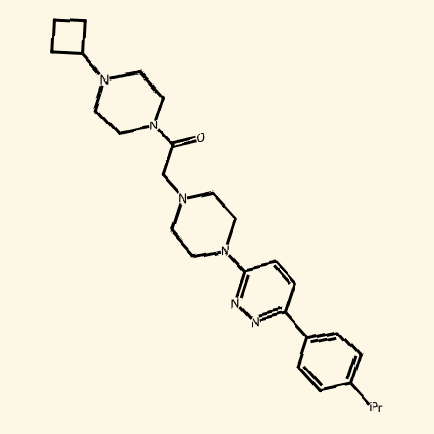 CC(C)c1ccc(-c2ccc(N3CCN(CC(=O)N4CCN(C5CCC5)CC4)CC3)nn2)cc1